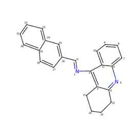 C(=N\c1c2c(nc3ccccc13)CCCC2)/c1ccc2ccccc2c1